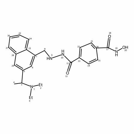 CCN(CC)C(C)c1cc(CNNC(=O)c2ccc(C(=O)NO)cc2)c2ccccc2c1